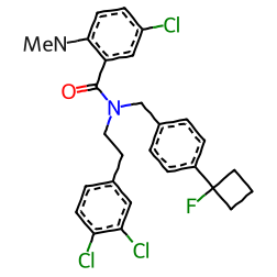 CNc1ccc(Cl)cc1C(=O)N(CCc1ccc(Cl)c(Cl)c1)Cc1ccc(C2(F)CCC2)cc1